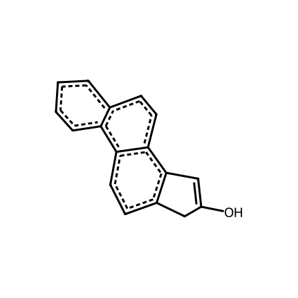 OC1=Cc2c(ccc3c2ccc2ccccc23)C1